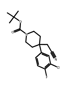 CC(C)(C)OC(=O)N1CCC(CC#N)(c2ccc(F)c(Cl)c2)CC1